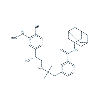 CC(C)(Cc1cccc(C(=O)NC23CC4CC(CC(C4)C2)C3)c1)NC[C@H](O)c1ccc(O)c(NC=O)c1